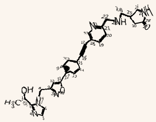 C[C@H](O)c1nccn1Cc1cc(-c2ccc(C#Cc3ccc(CNCC4CNC(=O)C4)nc3)cc2)on1